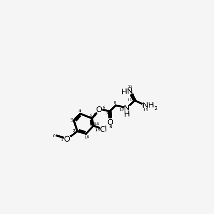 COc1ccc(OC(=O)CNC(=N)N)c(Cl)c1